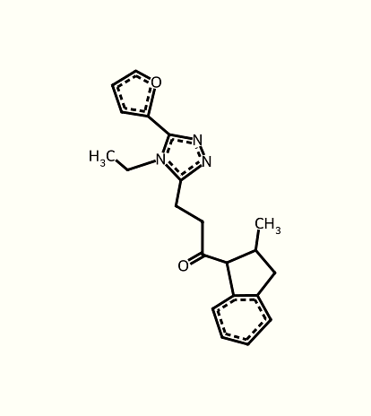 CCn1c(CCC(=O)C2c3ccccc3CC2C)nnc1-c1ccco1